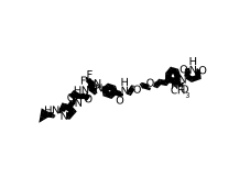 Cn1c(=O)n(C2CCC(=O)NC2=O)c2cccc(CCCOCCOCCNC(=O)c3ccc(-n4cc(NC(=O)c5coc(-c6ccnc(NCC7CC7)c6)n5)c(C(F)F)n4)cc3)c21